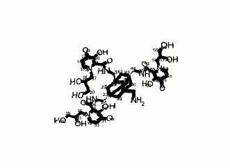 NCC12C[C@]3(CNC(=O)c4c(O)c(=O)ccn4CC(O)CO)C[C@](CNC(=O)c4c(O)c(=O)ccn4CC(O)CO)(C1)C[C@](CNC(=O)c1c(O)c(=O)ccn1CC(O)CO)(C2)C3